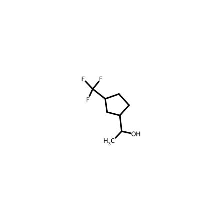 CC(O)C1CCC(C(F)(F)F)C1